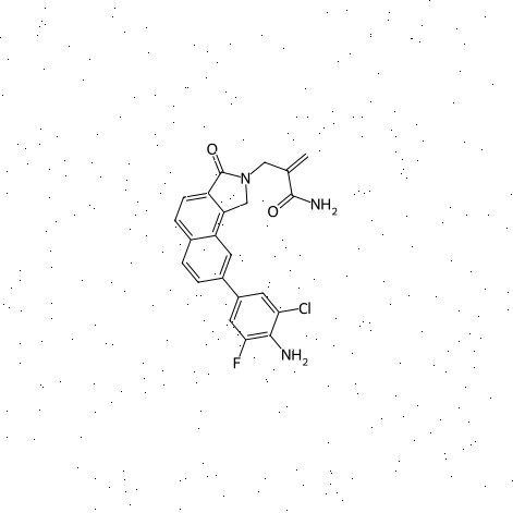 C=C(CN1Cc2c(ccc3ccc(-c4cc(F)c(N)c(Cl)c4)cc23)C1=O)C(N)=O